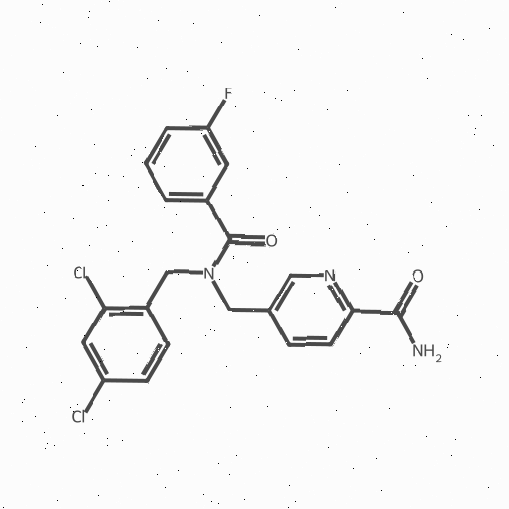 NC(=O)c1ccc(CN(Cc2ccc(Cl)cc2Cl)C(=O)c2cccc(F)c2)cn1